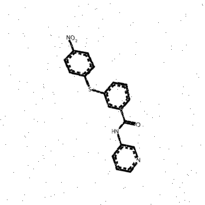 O=C(Nc1cccnc1)c1cccc(Sc2ccc([N+](=O)[O-])cc2)c1